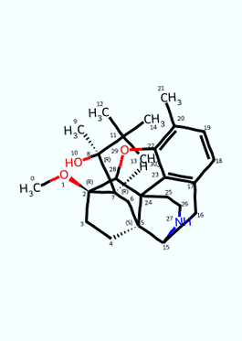 CO[C@]12CC[C@@]3(C[C@@H]1[C@@](C)(O)C(C)(C)C)C1Cc4ccc(C)c5c4C3(CCN1)C2O5